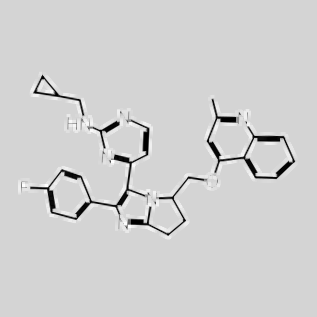 Cc1cc(OCC2CCc3nc(-c4ccc(F)cc4)c(-c4ccnc(NCC5CC5)n4)n32)c2ccccc2n1